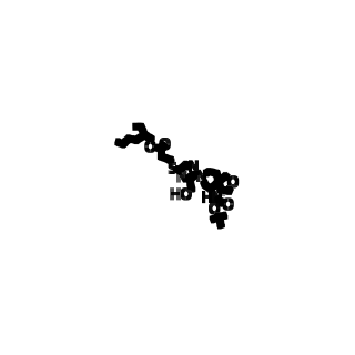 CCCCC(CC)COC(=O)CCSc1cnc(N2CCC3(CC2)COC[C@H]3NC(=O)OC(C)(C)C)c(CO)n1